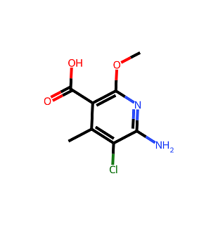 COc1nc(N)c(Cl)c(C)c1C(=O)O